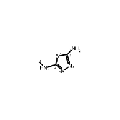 CNc1nnc(N)s1